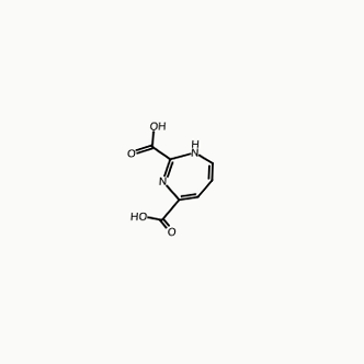 O=C(O)C1=CC=CNC(C(=O)O)=N1